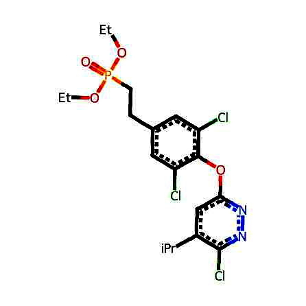 CCOP(=O)(CCc1cc(Cl)c(Oc2cc(C(C)C)c(Cl)nn2)c(Cl)c1)OCC